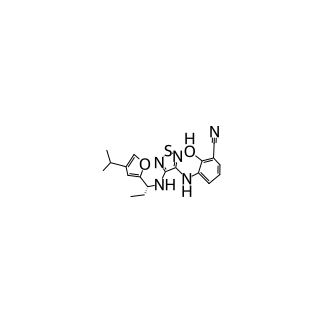 CC[C@@H](Nc1nsnc1Nc1cccc(C#N)c1O)c1cc(C(C)C)co1